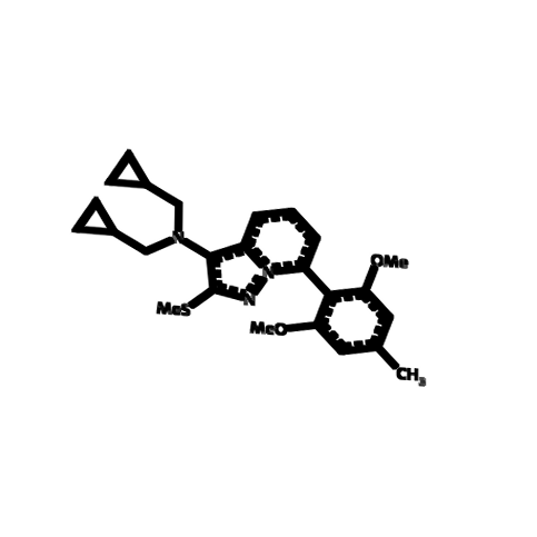 COc1cc(C)cc(OC)c1-c1cccc2c(N(CC3CC3)CC3CC3)c(SC)nn12